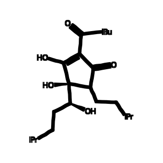 CCC(C)C(=O)C1=C(O)[C@@](O)([C@@H](O)CCC(C)C)C(CCC(C)C)C1=O